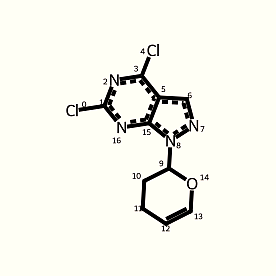 Clc1nc(Cl)c2cnn(C3CCC=CO3)c2n1